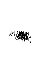 COCOc1c(OC)c(C)cc2c1[C@H]1N[C@H](C2)[C@H](C#N)N2C1Cc1c(OC(=O)CCCl)c(C)c3c(c1[C@@H]2CNC(=O)CCc1ccccc1)OCO3